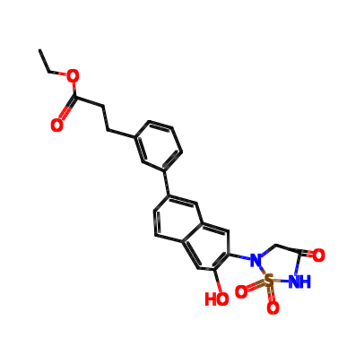 CCOC(=O)CCc1cccc(-c2ccc3cc(O)c(N4CC(=O)NS4(=O)=O)cc3c2)c1